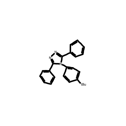 CC(C)(C)c1ccc(-n2c(-c3ccccc3)nnc2-c2ccccc2)cc1